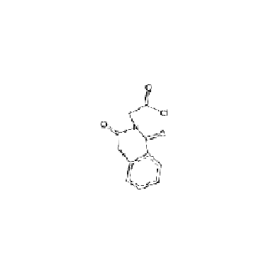 O=C(Cl)CN1C(=O)Cc2ccccc2C1=O